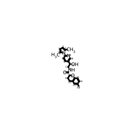 Cc1ccc(C)n1-c1ccc([C@H](O)CNC(=O)[C@H]2CCc3cc(I)ccc3O2)cn1